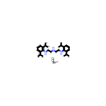 CC(C)c1cccc(C(C)C)c1NCCNCCNc1c(C(C)C)cccc1C(C)C.[Cl-].[Cl-].[Re+2]